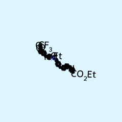 CCOC(=O)C1CCN(Cc2ccc3cc(C=C4CCC(C(C)(C)C/C=C(\OCC)C5CCN(Cc6ccc7cc(OS(=O)(=O)C(F)(F)F)ccc7c6)CC5)CC4)ccc3c2)CC1